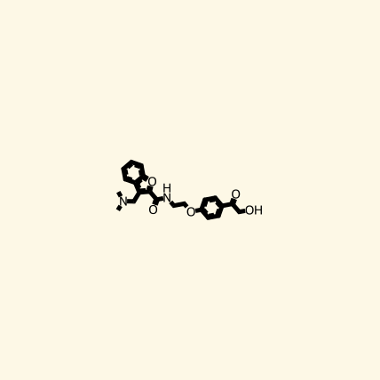 CN(C)Cc1c(C(=O)NCCOc2ccc(C(=O)CO)cc2)oc2ccccc12